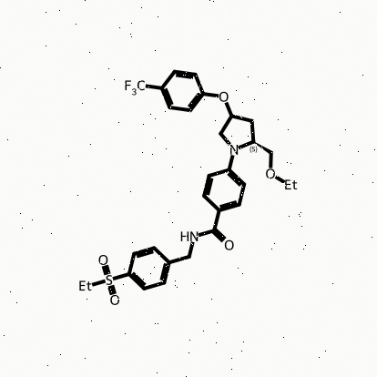 CCOC[C@@H]1CC(Oc2ccc(C(F)(F)F)cc2)CN1c1ccc(C(=O)NCc2ccc(S(=O)(=O)CC)cc2)cc1